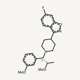 COc1cccc([C@@H](C(C)OC)N2CCC(c3noc4cc(F)ccc34)CC2)c1